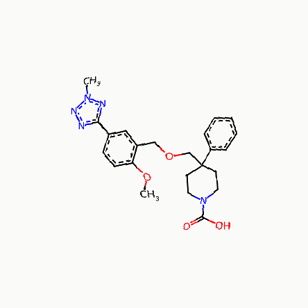 COc1ccc(-c2nnn(C)n2)cc1COCC1(c2ccccc2)CCN(C(=O)O)CC1